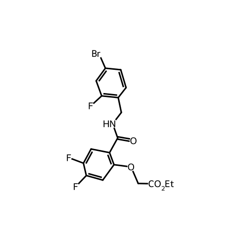 CCOC(=O)COc1cc(F)c(F)cc1C(=O)NCc1ccc(Br)cc1F